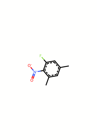 Cc1cc(C)c([N+](=O)[O-])c(F)c1